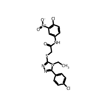 CCn1c(SCC(=O)Nc2ccc(Cl)c([N+](=O)[O-])c2)nnc1-c1ccc(Cl)cc1